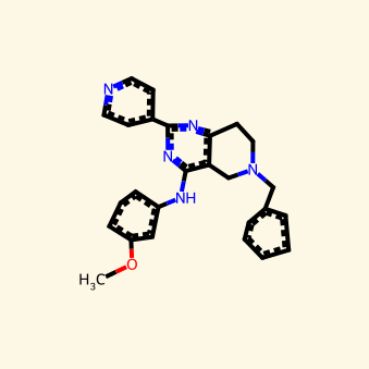 COc1cccc(Nc2nc(-c3ccncc3)nc3c2CN(Cc2ccccc2)CC3)c1